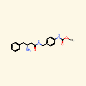 CC(C)(C)OC(=O)Nc1ccc(CNC(=O)C[C@@H](N)Cc2ccccc2)cc1